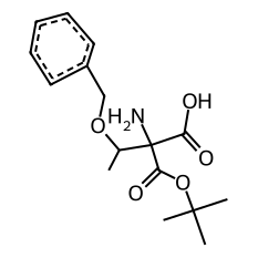 CC(OCc1ccccc1)C(N)(C(=O)O)C(=O)OC(C)(C)C